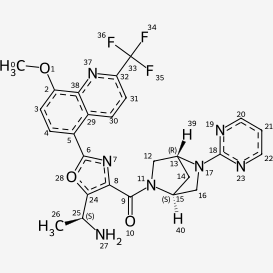 COc1ccc(-c2nc(C(=O)N3C[C@H]4C[C@H]3CN4c3ncccn3)c([C@H](C)N)o2)c2ccc(C(F)(F)F)nc12